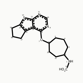 O=C(O)NC1CCCC(Oc2ncnc3sc4c(c23)CCC4)CC1